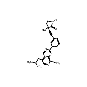 CC(C)Cc1cnc(N)c2nc(-c3cccc(C#CC4(O)CCN(C)C4=O)c3)ncc12